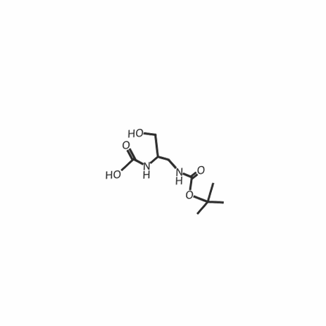 CC(C)(C)OC(=O)NCC(CO)NC(=O)O